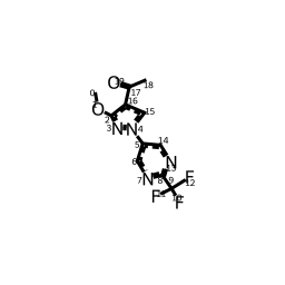 COc1nn(-c2cnc(C(F)(F)F)nc2)cc1C(C)=O